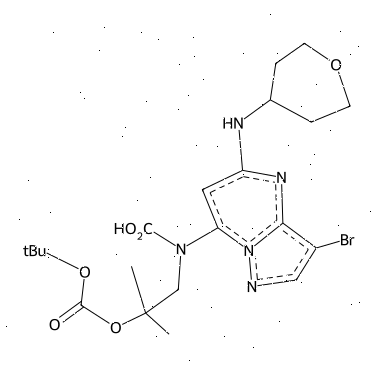 CC(C)(C)OC(=O)OC(C)(C)CN(C(=O)O)c1cc(NC2CCOCC2)nc2c(Br)cnn12